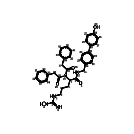 N=C(N)NCCCC(C(=O)NCc1ccc(-c2ccc(O)cc2)cc1)N(C(=O)Cc1ccccc1)C(=O)Cc1ccccc1